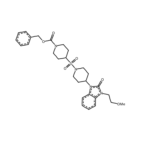 COCCn1c(=O)n(C2CCN(S(=O)(=O)C3CCN(C(=O)OCc4ccccc4)CC3)CC2)c2ccccc21